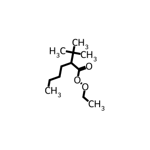 CCCCC(C(=O)OOCC)C(C)(C)C